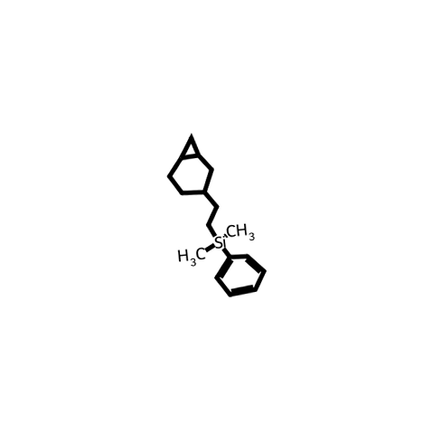 C[Si](C)(CCC1CCC2CC2C1)c1ccccc1